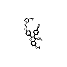 CC1=C(c2ccc(C#N)cc2)C(c2ccc(OCCN3CC[C@@H](CF)C3)cc2)Oc2ccc(O)cc21